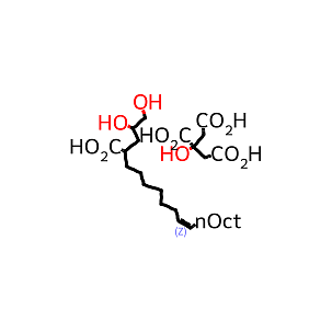 CCCCCCCC/C=C\CCCCCCC(CC(O)CO)C(=O)O.O=C(O)CC(O)(CC(=O)O)C(=O)O